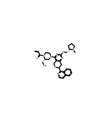 C=CC(=O)N1CCN(c2nc(OC[C@@H]3CCCN3C)nc3c2COC(c2nccc4ccccc24)C3)C[C@@H]1CC#N